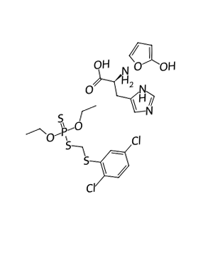 CCOP(=S)(OCC)SCSc1cc(Cl)ccc1Cl.N[C@@H](Cc1cnc[nH]1)C(=O)O.Oc1ccco1